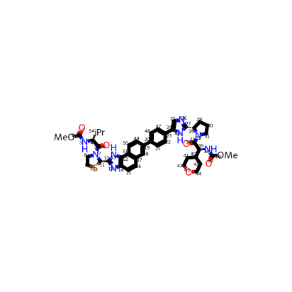 COC(=O)N[C@H](C(=O)N1CCS[C@@H]1c1nc2ccc3cc(-c4ccc(-c5cnc([C@@H]6CCCN6C(=O)[C@@H](NC(=O)OC)C6CCOCC6)[nH]5)cc4)ccc3c2[nH]1)C(C)C